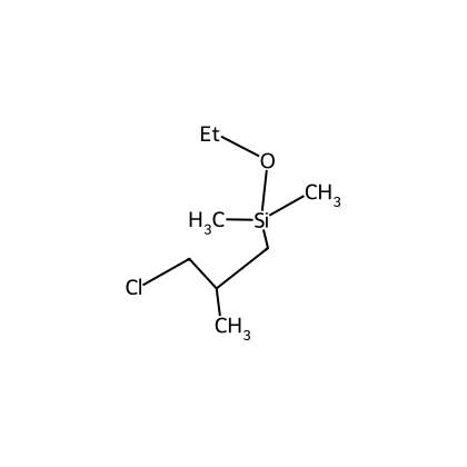 CCO[Si](C)(C)CC(C)CCl